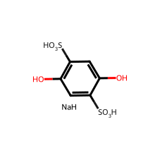 O=S(=O)(O)c1cc(O)c(S(=O)(=O)O)cc1O.[NaH]